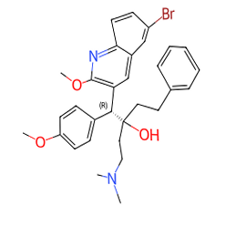 COc1ccc([C@H](c2cc3cc(Br)ccc3nc2OC)C(O)(CCc2ccccc2)CCN(C)C)cc1